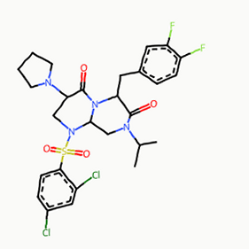 CC(C)N1CC2N(C(=O)C(N3CCCC3)CN2S(=O)(=O)c2ccc(Cl)cc2Cl)C(Cc2ccc(F)c(F)c2)C1=O